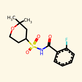 CC1(C)CC(S(=O)(=O)NC(=O)c2ccccc2F)CCO1